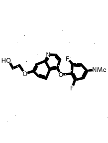 CNc1cc(F)c(Oc2ccnc3cc(OCCO)ccc23)c(F)c1